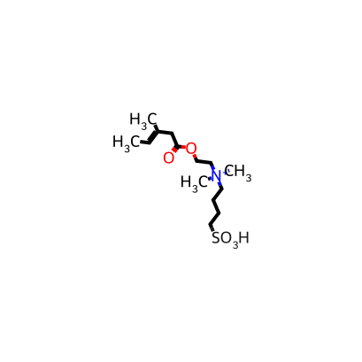 CC=C(C)CC(=O)OCC[N+](C)(C)CCCCS(=O)(=O)O